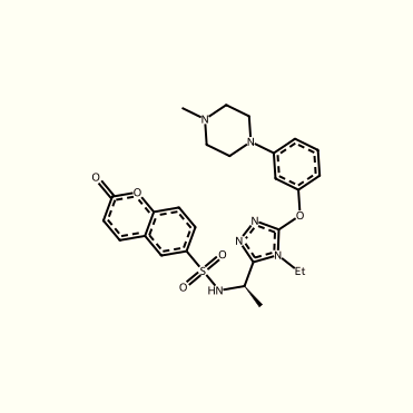 CCn1c(Oc2cccc(N3CCN(C)CC3)c2)nnc1[C@@H](C)NS(=O)(=O)c1ccc2oc(=O)ccc2c1